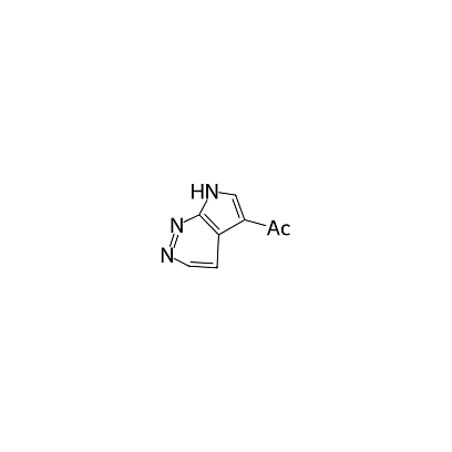 CC(=O)c1c[nH]c2nnccc12